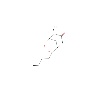 CCCC[C@@]1(C)OO[C@@H]2C[C@H]1CC(=O)[C@@H]2C